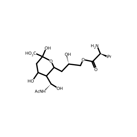 CC(=O)N[C@@H](O)C1C(O)CC(O)(C(=O)O)OC1C[C@H](O)COC(=O)[C@@H](N)C(C)C